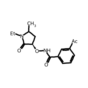 CCN1C(=O)[C@H](ONC(=O)c2cccc(C(C)=O)c2)CC1C